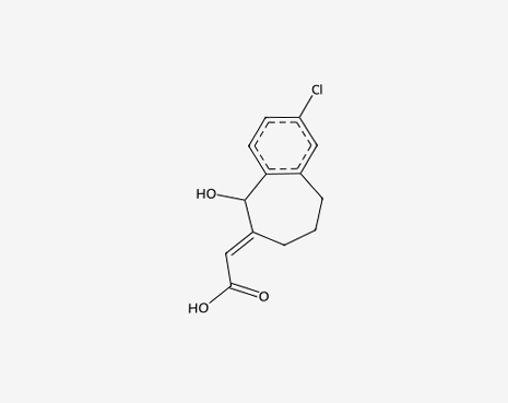 O=C(O)/C=C1\CCCc2cc(Cl)ccc2C1O